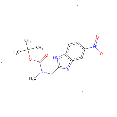 CN(Cc1nc2cc([N+](=O)[O-])ccc2[nH]1)C(=O)OC(C)(C)C